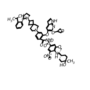 CC(C)c1ccccc1[C@H]1CCCN1C1CC2(CCN(c3ccc(C(=O)NS(=O)(=O)c4cc5c(c([N+](=O)[O-])c4)N[C@@H]([C@H]4CC[C@](C)(O)CC4)CO5)c(Oc4cc5cc[nH]c5nc4OC4COC4)c3)CC2)C1